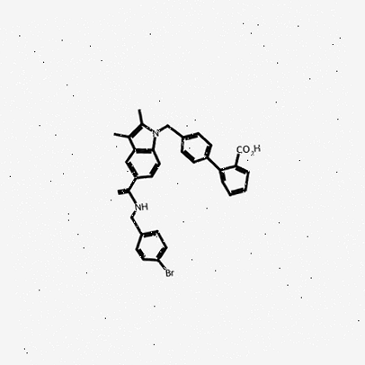 C=C(NCc1ccc(Br)cc1)c1ccc2c(c1)c(C)c(C)n2Cc1ccc(-c2ccccc2C(=O)O)cc1